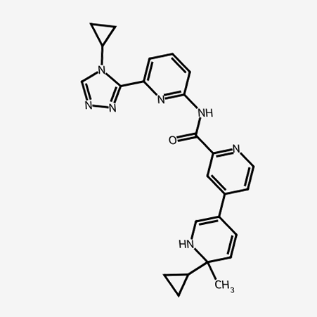 CC1(C2CC2)C=CC(c2ccnc(C(=O)Nc3cccc(-c4nncn4C4CC4)n3)c2)=CN1